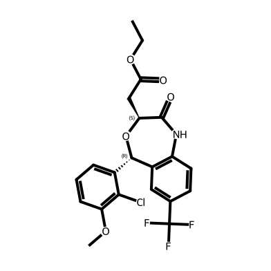 CCOC(=O)C[C@@H]1O[C@@H](c2cccc(OC)c2Cl)c2cc(C(F)(F)F)ccc2NC1=O